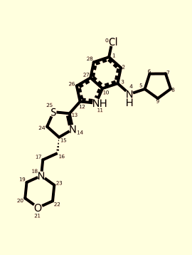 Clc1cc(NC2CCCC2)c2[nH]c(C3=N[C@H](CCN4CCOCC4)CS3)cc2c1